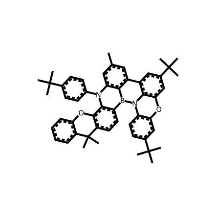 Cc1cc2c3c(c1)N(c1ccc(C(C)(C)C)cc1)c1c(ccc4c1Oc1ccccc1C4(C)C)B3N1c3ccc(C(C)(C)C)cc3Oc3cc(C(C)(C)C)cc-2c31